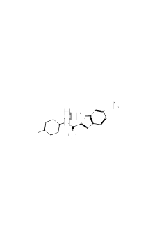 CC1CCC(NC(=O)c2cc3ccc(C#N)cc3[nH]2)CC1